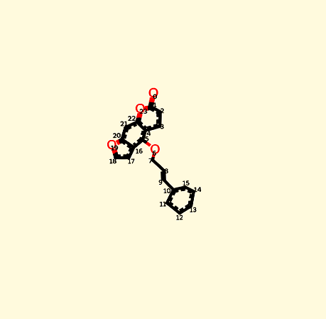 O=c1ccc2c(OCC=Cc3ccccc3)c3ccoc3cc2o1